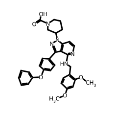 COc1ccc(CNc2nccc3c2c(-c2ccc(Oc4ccccc4)cc2)nn3C2CCCN(C(=O)O)C2)c(OC)c1